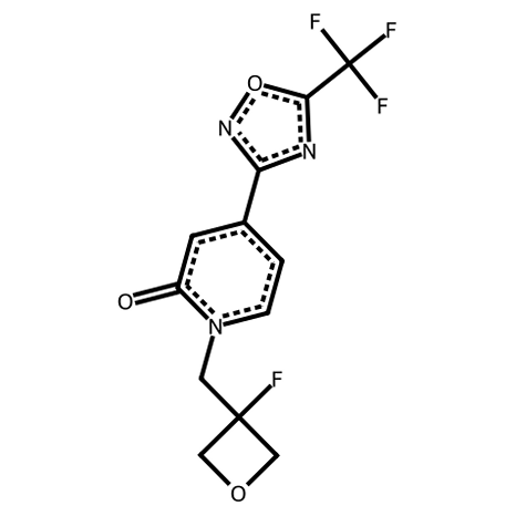 O=c1cc(-c2noc(C(F)(F)F)n2)ccn1CC1(F)COC1